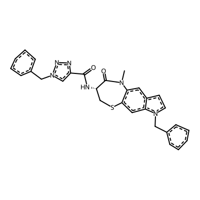 CN1C(=O)[C@@H](NC(=O)c2cn(Cc3ccccc3)nn2)CSc2cc3c(ccn3Cc3ccccc3)cc21